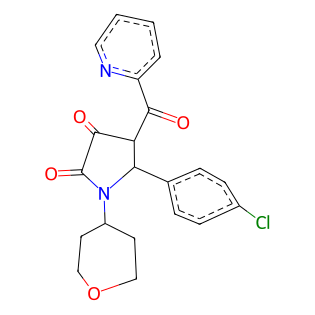 O=C1C(=O)N(C2CCOCC2)C(c2ccc(Cl)cc2)C1C(=O)c1ccccn1